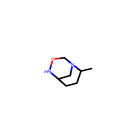 CC1CCC2CN1CON2